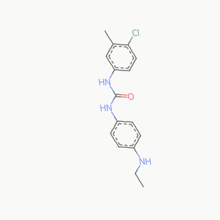 CCNc1ccc(NC(=O)Nc2ccc(Cl)c(C)c2)cc1